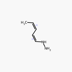 C/C=C\C=C/NN